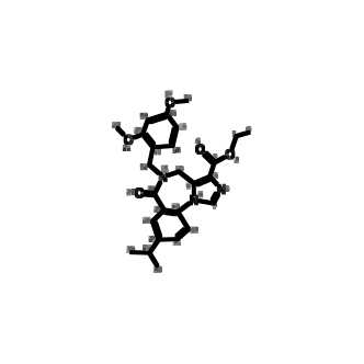 CCOC(=O)c1ncn2c1CN(Cc1ccc(OC)cc1OC)C(=O)c1cc(C(C)C)ccc1-2